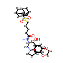 O=C(CCCCS(=O)(=O)C12CC3CC(CC(C3)C1)C2)N[C@H](CN1CCCC1)[C@H](O)c1ccc2c(c1)OCCO2